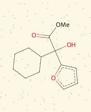 COC(=O)C(O)(c1ccco1)C1CCCCC1